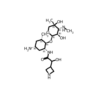 CN[C@@H]1[C@@H](O)[C@@H](O[C@@H]2[C@@H](C)C[C@@H](N)C[C@H]2NC(=O)C(O)C2CNC2)OC[C@]1(C)O